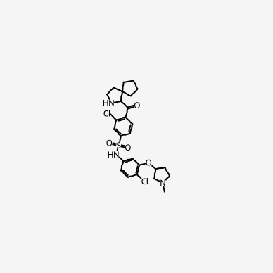 CN1CCC(Oc2cc(NS(=O)(=O)c3ccc(C(=O)C4NCCC45CCCC5)c(Cl)c3)ccc2Cl)C1